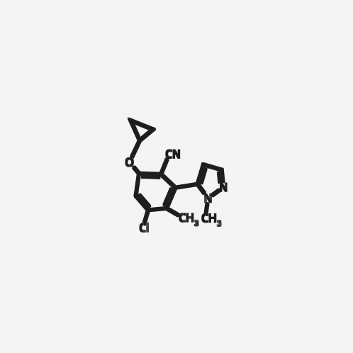 Cc1c(Cl)cc(OC2CC2)c(C#N)c1-c1ccnn1C